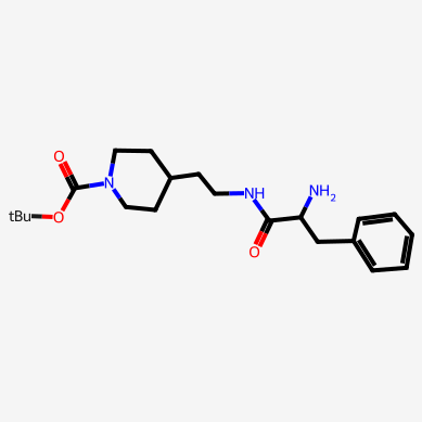 CC(C)(C)OC(=O)N1CCC(CCNC(=O)C(N)Cc2ccccc2)CC1